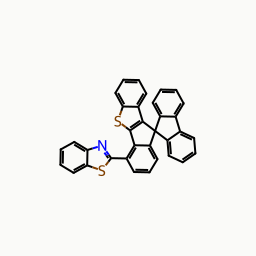 c1ccc2c(c1)-c1ccccc1C21c2cccc(-c3nc4ccccc4s3)c2-c2sc3ccccc3c21